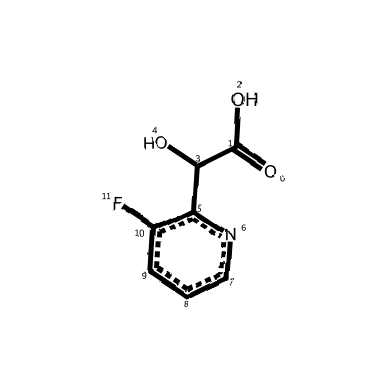 O=C(O)C(O)c1ncccc1F